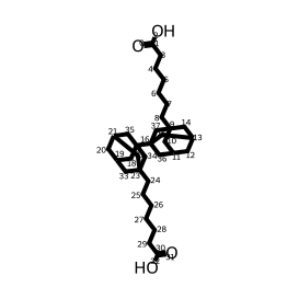 O=C(O)CCCCCCC12CC3CC(C1)CC(C14CC5CC(CC(CCCCCCC(=O)O)(C5)C1)C4)(C3)C2